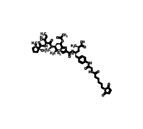 CC[C@H](C)[C@H](NC(=O)[C@@]1(C)CCCN1C)C(=O)N(C)[C@H](C[C@@H](OC(C)=O)c1nc(C(=O)N[C@@H](Cc2ccc(NC(=O)CNC(=O)CCCCCN3C(=O)C=CC3=O)cc2)C[C@H](C)C(=O)O)cs1)C(C)C